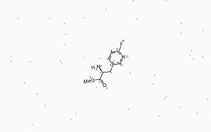 COC(=O)[C@@H](N)Cc1ccc(F)nc1